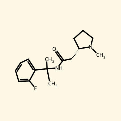 CN1CCC[C@H]1CC(=O)NC(C)(C)c1ccccc1F